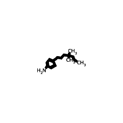 CCCC(C)(C)CCCc1ccc(N)cc1